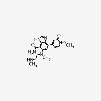 CCn1ccc(-c2cc(N(C)CCNC)c(C(N)=O)c3[nH]cnc23)cc1=O